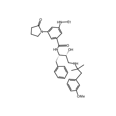 CCNc1cc(C(=O)N[C@@H](Cc2ccccc2)[C@H](O)CNC(C)(C)Cc2cccc(OC)c2)cc(N2CCCC2=O)c1